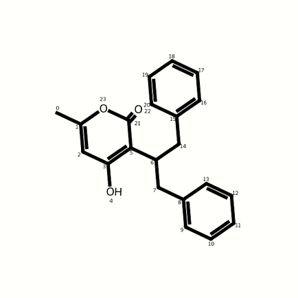 Cc1cc(O)c(C(Cc2ccccc2)Cc2ccccc2)c(=O)o1